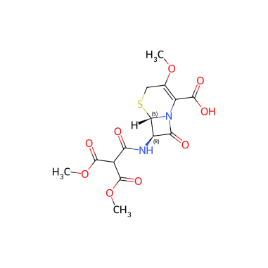 COC(=O)C(C(=O)N[C@@H]1C(=O)N2C(C(=O)O)=C(OC)CS[C@@H]12)C(=O)OC